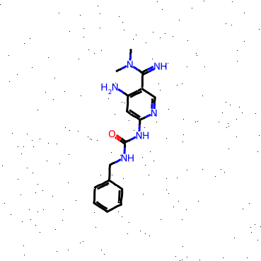 CN(C)C(=N)c1cnc(NC(=O)NCc2ccccc2)cc1N